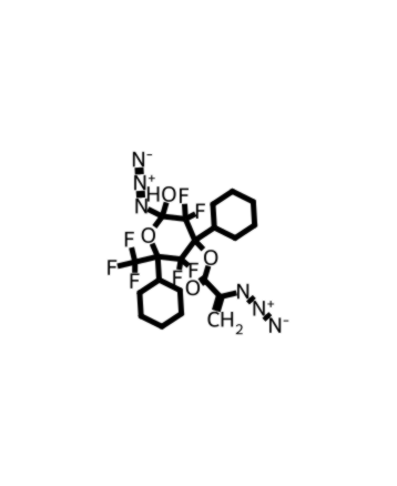 C=C(N=[N+]=[N-])C(=O)OC1(C2CCCCC2)C(F)(F)C(O)(N=[N+]=[N-])OC(C2CCCCC2)(C(F)(F)F)C1(F)F